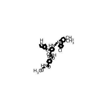 COCCNC(=O)c1ccc(S(=O)(=O)NC(=O)c2ccc(NCCNCC3=C(c4ccc(Cl)cc4)CC(C)(C)CC3)cc2Oc2ccc3[nH]ccc3c2)cc1